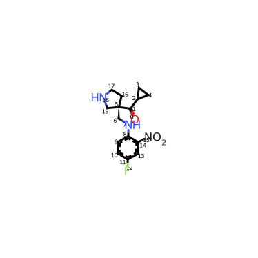 O=C(C1CC1)[C@@]1(CNc2ccc(F)cc2[N+](=O)[O-])CCNC1